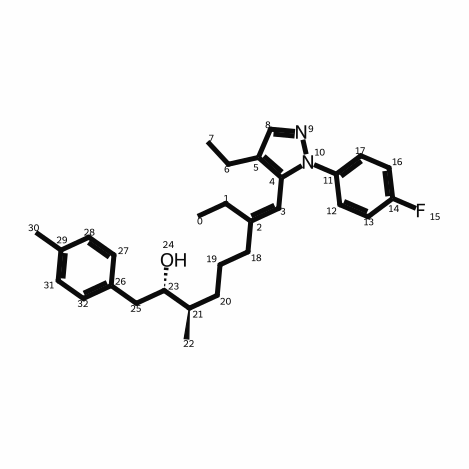 CC/C(=C\c1c(CC)cnn1-c1ccc(F)cc1)CCC[C@@H](C)[C@@H](O)Cc1ccc(C)cc1